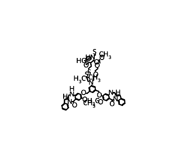 COCCOCCOCCN(CC(C)(C)SSCCC(C(=O)NC=S)S(=O)(=O)O)c1cc(COc2cc3c(cc2OC)C(=O)N2c4ccccc4C[C@H]2C=N3)cc(COc2cc3c(cc2OC)C(=O)N2c4ccccc4C[C@H]2CN3)c1